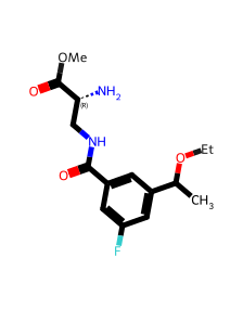 CCOC(C)c1cc(F)cc(C(=O)NC[C@@H](N)C(=O)OC)c1